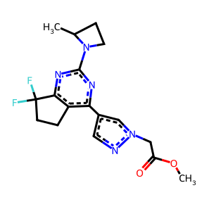 COC(=O)Cn1cc(-c2nc(N3CCC3C)nc3c2CCC3(F)F)cn1